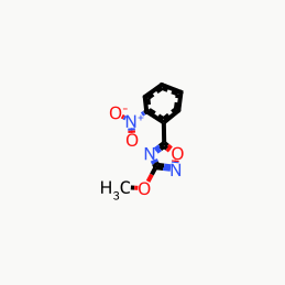 COc1noc(-c2ccccc2[N+](=O)[O-])n1